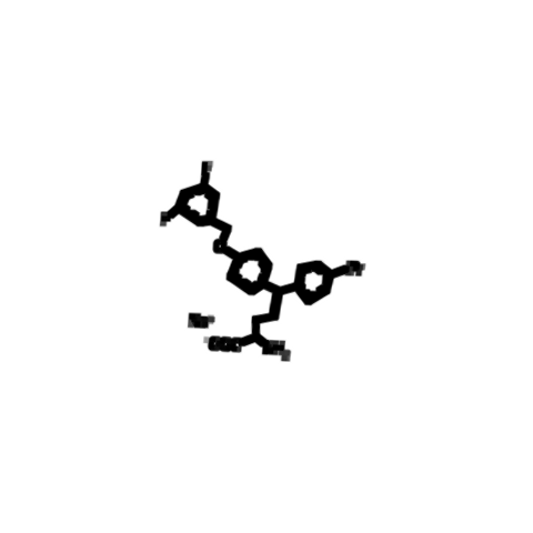 CC(C)c1ccc(/C(=C/CC(N)C(=O)[O-])c2ccc(OCc3cc(F)cc(F)c3)cc2)cc1.[Na+]